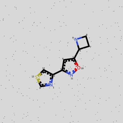 c1nc(-c2cc(C3CC[N]3)on2)cs1